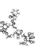 C[C@@H]1C/C=C/[C@H](NC(=O)CS[C@@H]2OC(CO)[C@@H](O)[C@H](O)C2O)C/C=C/C(=N/OCC(=O)N2CCCCC2)Cc2cc(O)cc(O)c2C(=O)O1